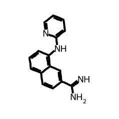 N=C(N)c1ccc2cccc(Nc3ccccn3)c2c1